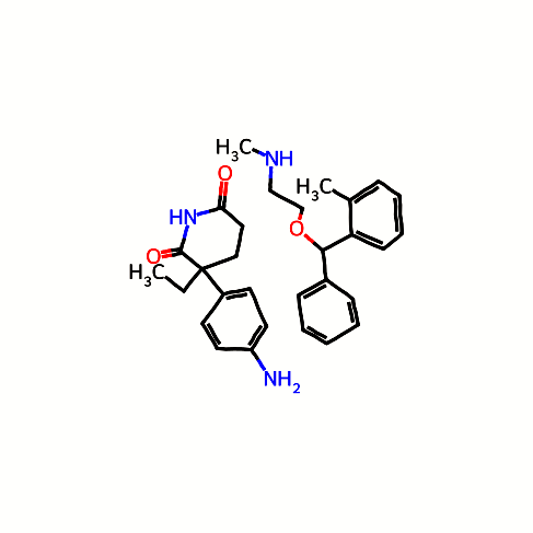 CCC1(c2ccc(N)cc2)CCC(=O)NC1=O.CNCCOC(c1ccccc1)c1ccccc1C